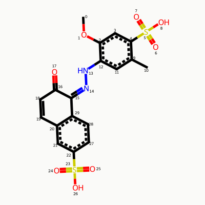 COc1cc(S(=O)(=O)O)c(C)cc1N/N=C1\C(=O)C=Cc2cc(S(=O)(=O)O)ccc21